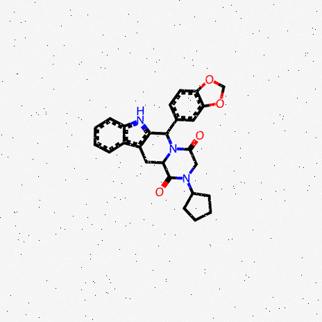 O=C1C2Cc3c([nH]c4ccccc34)C(c3ccc4c(c3)OCO4)N2C(=O)CN1C1CCCC1